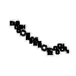 C=C(C)C(=O)OCCN(CC)c1ccc(N=Nc2nc3sc(N=Nc4ccc(O[C@H](S)OC(=O)CC)cc4)cc3s2)cc1